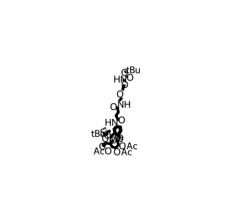 COC(=O)C1O[C@@H](Oc2ccc(NC(=O)CCC(=O)NCCOCCONC(=O)OC(C)(C)C)cc2CO[Si](C)(C)C(C)(C)C)C(OC(C)=O)C(OC(C)=O)[C@@H]1OC(C)=O